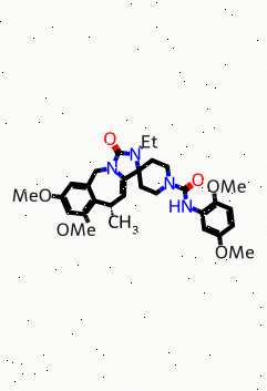 CCN1C(=O)N2Cc3cc(OC)cc(OC)c3[C@@H](C)C=C2C12CCN(C(=O)Nc1cc(OC)ccc1OC)CC2